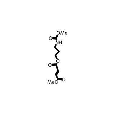 COC(=O)/C=C/C(=O)OCCCNC(=O)OC